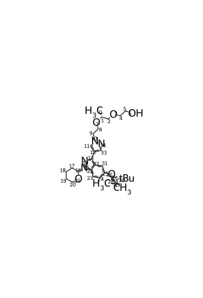 C[C@H](COCCO)OCCn1cc(-c2nn(C3CCCCO3)c3ccc(O[Si](C)(C)C(C)(C)C)cc23)cn1